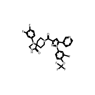 O=C(c1cc(-c2cccnc2)n(-c2ccc(OC(F)(F)F)c(F)c2)n1)N1CCC2(CC1)C(=O)NCN2c1ccc(F)c(F)c1